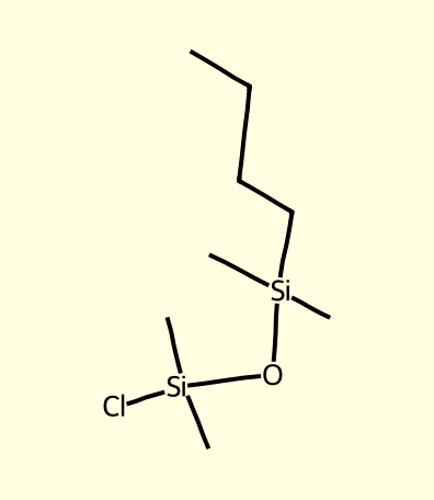 CCCC[Si](C)(C)O[Si](C)(C)Cl